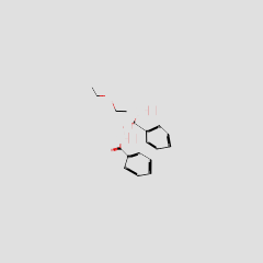 CCOCC.O=C(O)c1ccccc1.O=C(O)c1ccccc1